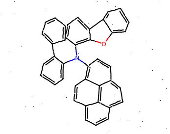 c1ccc(-c2ccccc2N(c2ccc3ccc4cccc5ccc2c3c45)c2cccc3c2oc2ccccc23)cc1